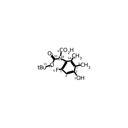 Cc1c(O)cc(F)c(N(C(=O)O)C(=O)OC(C)(C)C)c1C